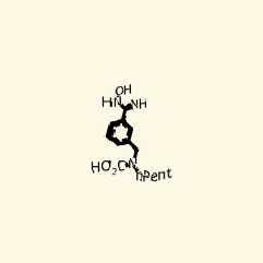 CCCCCN(Cc1cccc(C(=N)NO)c1)C(=O)O